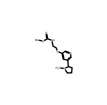 CN1CCCC1c1cncc(OCCNC(=O)OC(C)(C)C)c1